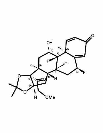 COCC(=O)[C@@]12OC(C)(C)O[C@@H]1C[C@H]1[C@@H]3C[C@H](F)C4=CC(=O)C=C[C@]4(C)[C@@]3(F)[C@@H](O)C[C@@]12C